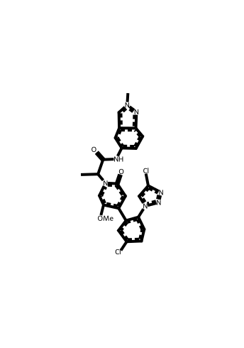 COc1cn(C(C)C(=O)Nc2ccc3nn(C)cc3c2)c(=O)cc1-c1cc(Cl)ccc1-n1cc(Cl)nn1